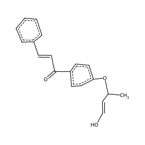 CC(/C=C/O)Oc1ccc(C(=O)/C=C/c2ccccc2)cc1